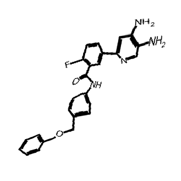 Nc1cnc(-c2ccc(F)c(C(=O)Nc3ccc(COCc4ccccc4)cc3)c2)cc1N